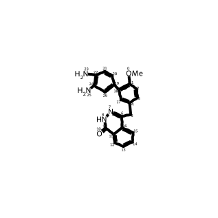 COc1ccc(Cc2n[nH]c(=O)c3ccccc23)cc1-c1ccc(N)c(N)c1